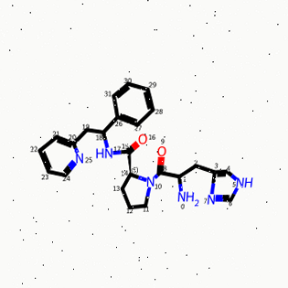 NC(Cc1c[nH]cn1)C(=O)N1CCC[C@H]1C(=O)NC(Cc1ccccn1)c1ccccc1